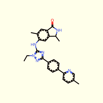 CCn1nc(-c2ccc(-c3ccc(C)cn3)cc2)nc1Nc1cc2c(cc1C)C(=O)NC2C